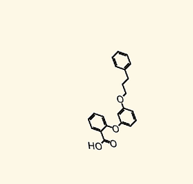 O=C(O)c1ccccc1Oc1cccc(OCCCc2ccccc2)c1